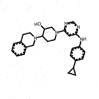 OC1CN(c2cc(Nc3ccc(C4CC4)cc3)ncn2)CCC1N1CCc2ccccc2C1